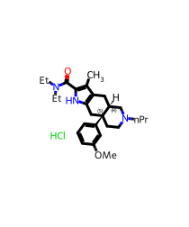 CCCN1CC[C@]2(c3cccc(OC)c3)Cc3[nH]c(C(=O)N(CC)CC)c(C)c3C[C@H]2C1.Cl